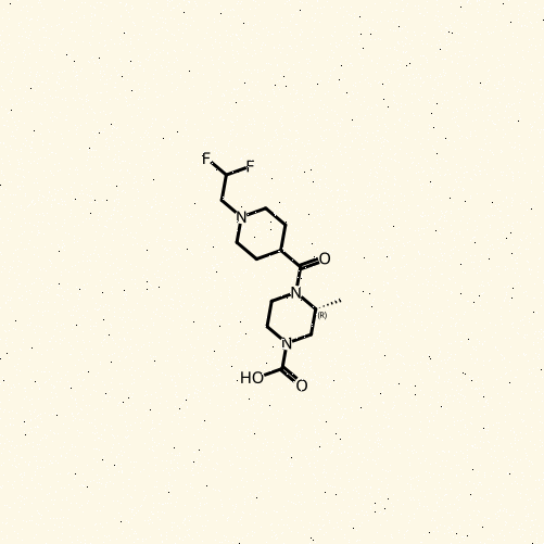 C[C@@H]1CN(C(=O)O)CCN1C(=O)C1CCN(CC(F)F)CC1